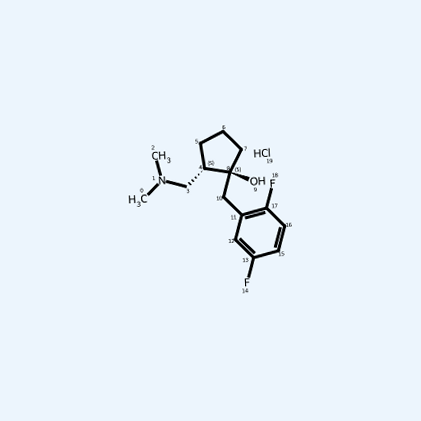 CN(C)C[C@@H]1CCC[C@]1(O)Cc1cc(F)ccc1F.Cl